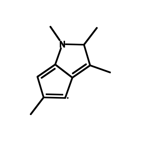 CC1=[C]C2=C(C)C(C)N(C)C2=C1